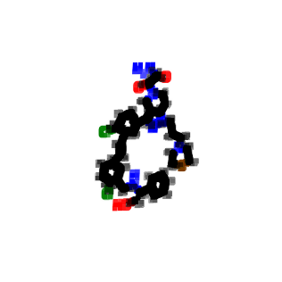 NC(=O)C(=O)N1CCc2c(c(-c3ccc(Cl)c(C#Cc4ccc(Cl)c(CN[C@@H](CO)c5ccccc5)c4)c3)nn2CCCN2CCSCC2)C1